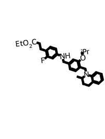 CCOC(=O)CCc1ccc(NCc2ccc(CN3c4ccccc4CCC3C)c(OC(C)C)c2)cc1F